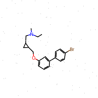 CCN(C)CC1CC1COc1cc[c]c(-c2ccc(Br)cc2)c1